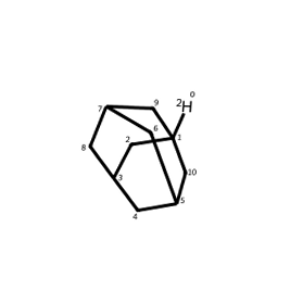 [2H]C12CC3CC(CC(C3)C1)C2